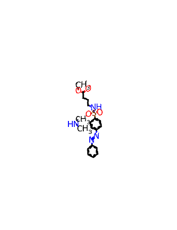 CNC.COC(=O)CCCNS(=O)(=O)c1ccc(N=Nc2ccccc2)cc1